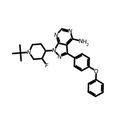 CC(C)(C)N1CCC(n2nc(-c3ccc(Oc4ccccc4)cc3)c3c(N)ncnc32)C(F)C1